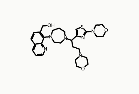 OCc1ccc2cccnc2c1N1CCCN(C(CCN2CCOCC2)c2csc(N3CCOCC3)n2)CC1